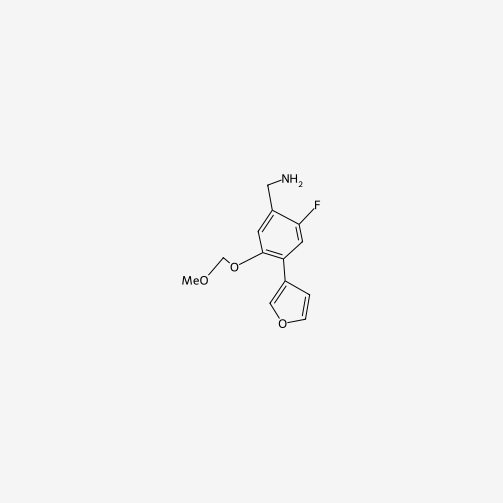 COCOc1cc(CN)c(F)cc1-c1ccoc1